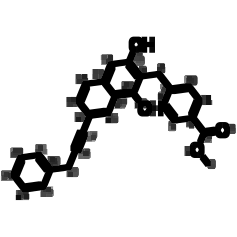 COC(=O)c1ccc(Cc2c(O)cc3ccc(C#CCc4ccccc4)cc3c2O)cc1